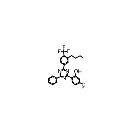 CCCCc1cc(-c2nc(-c3ccccc3)nc(-c3ccc(OC)cc3O)n2)ccc1C(F)(F)F